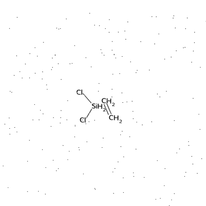 C=C.Cl[SiH2]Cl